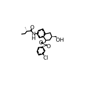 CC[C@H](C)C(=O)Nc1ccc2c(c1)C(S(=O)(=O)c1cccc(Cl)c1)C[C@H](CO)C2